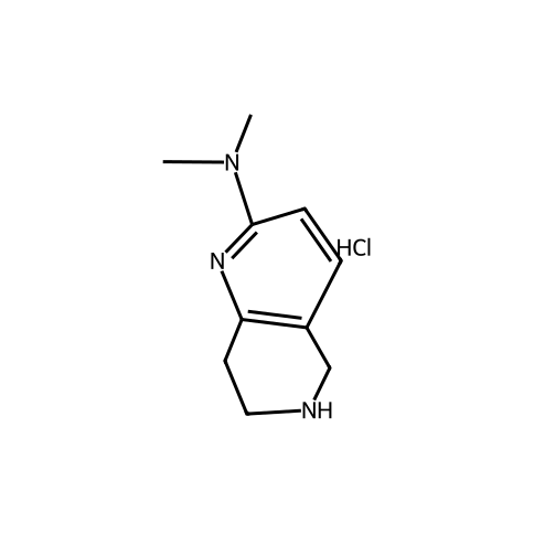 CN(C)c1ccc2c(n1)CCNC2.Cl